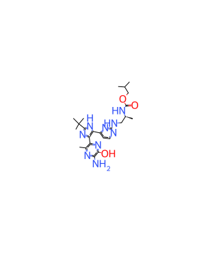 Cc1nc(N)c(O)nc1-c1nc(C(C)(C)C)[nH]c1-c1ccnc(NC[C@H](C)NC(=O)OCC(C)C)n1